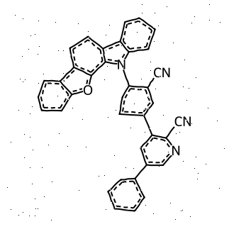 N#Cc1cc(-c2cc(-c3ccccc3)cnc2C#N)ccc1-n1c2ccccc2c2ccc3c4ccccc4oc3c21